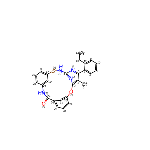 CCc1c2nc(nc1-c1ccccc1CC(C)C)NSc1cccc(c1)NC(=O)c1cccc(c1)O2